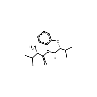 CC(C)[C@H](N)C(=O)O[C@@H](C)[C@H](Oc1ccccc1)C(C)C